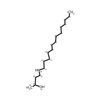 CCCCCCCCCCCCCCNCCC(C)O